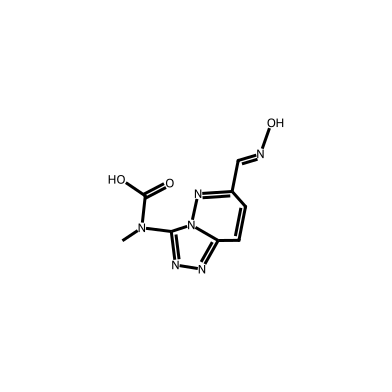 CN(C(=O)O)c1nnc2ccc(C=NO)nn12